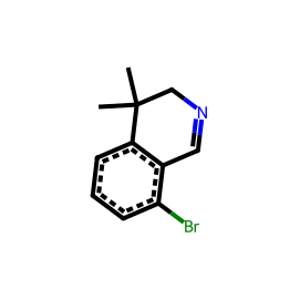 CC1(C)CN=Cc2c(Br)cccc21